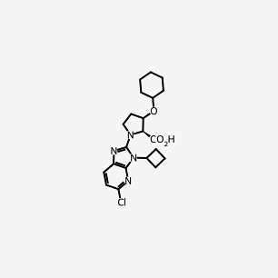 O=C(O)[C@@H]1C(OC2CCCCC2)CCN1c1nc2ccc(Cl)nc2n1C1CCC1